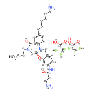 NCCCCCCc1ccc2c(c1)C(=O)N(CCC(=O)O)CC(=O)N2Cc1ccc(NC(=O)CCN)cc1.O=C(O)C(F)(F)F.O=C(O)C(F)(F)F